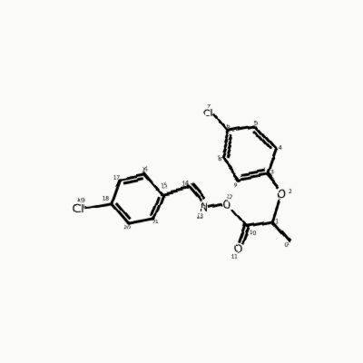 CC(Oc1ccc(Cl)cc1)C(=O)ON=Cc1ccc(Cl)cc1